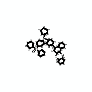 O=P(c1ccccc1)(c1ccccc1)c1ccc2c(c1)c1cc(-c3cc4c(c5ccccc35)Oc3ccccc3O4)ccc1n2-c1ccccc1